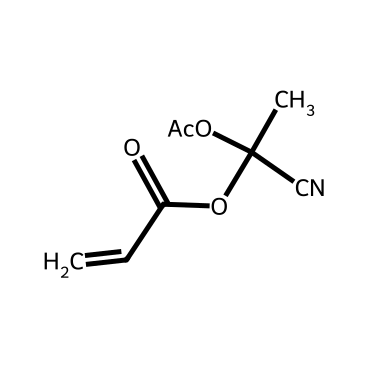 C=CC(=O)OC(C)(C#N)OC(C)=O